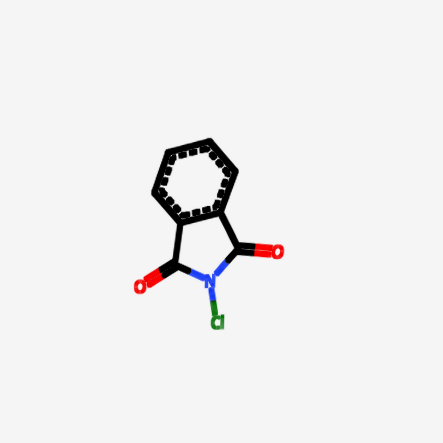 O=C1c2ccccc2C(=O)N1Cl